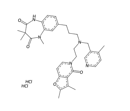 Cc1ccncc1CN(CCCc1ccc2c(c1)N(C)C(=O)C(C)(C)C(=O)N2)CCn1ccc2oc(C)c(C)c2c1=O.Cl.Cl